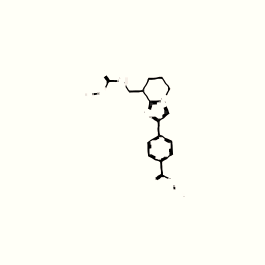 CC(C)(C)OC(=O)NCC1CCCn2cc(-c3ccc(C(=O)OC(C)(C)C)cc3)nc21